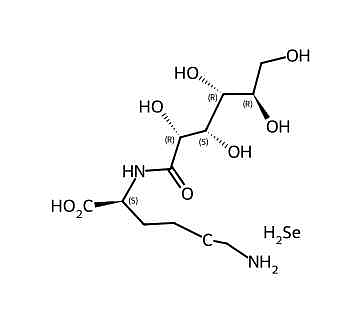 NCCCC[C@H](NC(=O)[C@H](O)[C@@H](O)[C@H](O)[C@H](O)CO)C(=O)O.[SeH2]